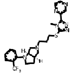 Cn1c(SCCCN2C[C@H]3CCN(c4ccccc4C(F)(F)F)[C@H]3C2)nnc1-c1cnccn1